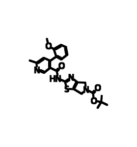 COc1ccccc1-c1cc(C)ncc1C(=O)Nc1nc2c(s1)CN(C(=O)OC(C)(C)C)C2